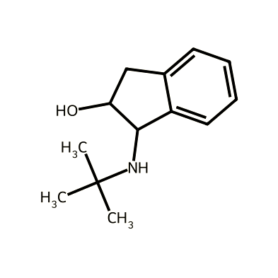 CC(C)(C)NC1c2ccccc2CC1O